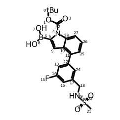 CC(C)(C)OC(=O)n1c(B(O)O)cc2c(-c3cc(F)cc(CNS(C)(=O)=O)c3)cccc21